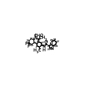 Cc1ccc([C@H](C)N(C=O)C2CCC(F)(F)CC2)cc1NC(=O)c1cnc2ccccn12